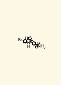 NS(=O)(=O)c1ccc([C@H]2Nc3ccc(Br)cc3[C@H]3C=CC[C@H]32)cc1